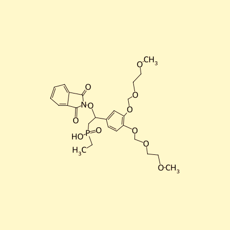 CCP(=O)(O)CC(ON1C(=O)c2ccccc2C1=O)c1ccc(OCOCCOC)c(OCOCCOC)c1